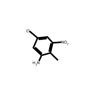 Cc1c(N)cc(Cl)cc1[N+](=O)[O-]